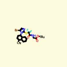 CC(C)(C)OC(=O)CNC(=O)C(F)(F)Sc1ncc(Br)n1-c1ccc(C#N)c2ccccc12